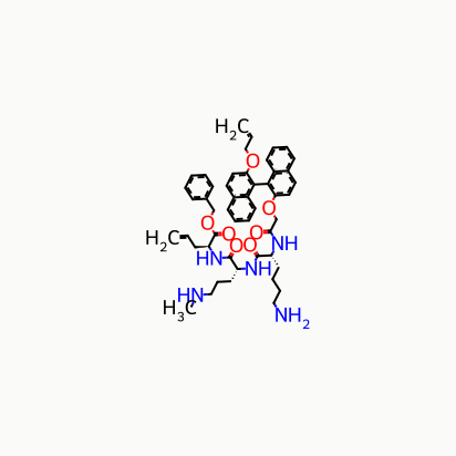 C=CCOc1ccc2ccccc2c1-c1c(OCC(=O)N[C@H](CCCCN)C(=O)N[C@H](CCCNC)C(=O)N[C@@H](CC=C)C(=O)OCc2ccccc2)ccc2ccccc12